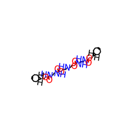 O=C(NCCNC(=O)OC[C@@H]1[C@@H]2CCC#CCC[C@@H]21)OCCNCCOC(=O)NCCNC(=O)OC[C@@H]1[C@@H]2CCC#CCC[C@@H]21